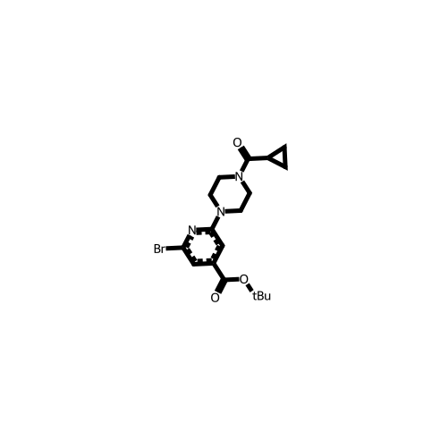 CC(C)(C)OC(=O)c1cc(Br)nc(N2CCN(C(=O)C3CC3)CC2)c1